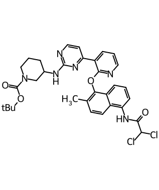 Cc1ccc2c(NC(=O)C(Cl)Cl)cccc2c1Oc1ncccc1-c1ccnc(NC2CCCN(C(=O)OC(C)(C)C)C2)n1